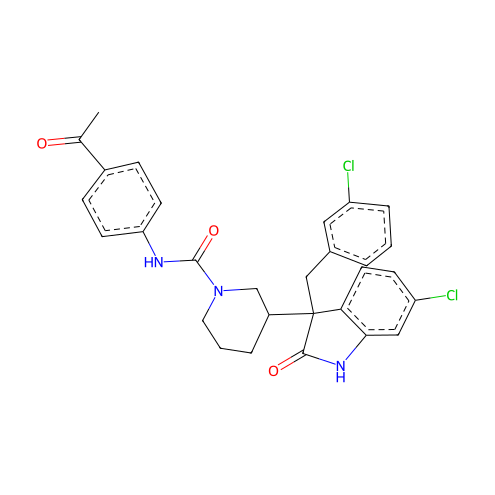 CC(=O)c1ccc(NC(=O)N2CCCC(C3(Cc4cccc(Cl)c4)C(=O)Nc4cc(Cl)ccc43)C2)cc1